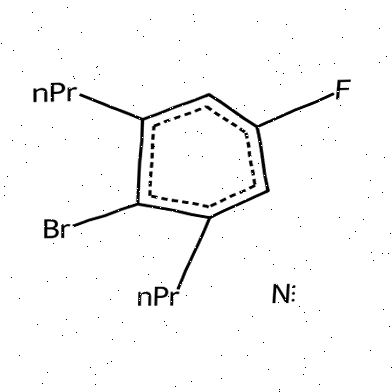 CCCc1cc(F)cc(CCC)c1Br.[N]